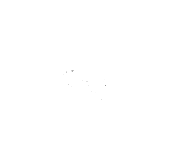 Fc1cnn(-c2cc(Cl)nc(Cl)n2)c1